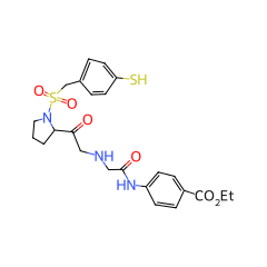 CCOC(=O)c1ccc(NC(=O)CNCC(=O)C2CCCN2S(=O)(=O)Cc2ccc(S)cc2)cc1